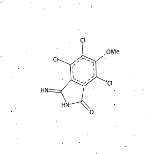 COc1c(Cl)c(Cl)c2c(c1Cl)C(=O)NC2=N